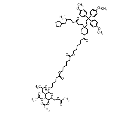 COc1ccc(C(CCC2(CCC(=O)CCC(C)CC3CCCC3)CCC(C(=O)CCCCCOC(=O)CCCCCOC(=O)CCCCO[C@@H]3O[C@@H](COC(C)=O)[C@@H](OC(C)=O)[C@H](OC(C)=O)[C@H]3CC(C)C)CC2)(c2ccc(OC)cc2)c2ccc(OC)cc2)cc1